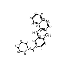 Oc1ccc(CN2CCOCC2)cc1Nc1ncnc2ccccc12